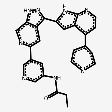 CCC(=O)Nc1cncc(-c2cc3c(-c4cc5c(-c6ccncc6)ccnc5[nH]4)n[nH]c3cn2)c1